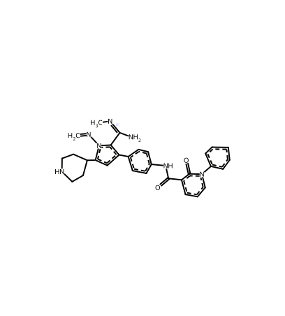 C=Nn1c(C2CCNCC2)cc(-c2ccc(NC(=O)c3cccn(-c4ccccc4)c3=O)cc2)c1/C(N)=N\C